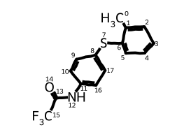 Cc1ccccc1Sc1ccc(NC(=O)C(F)(F)F)cc1